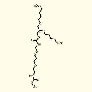 CCCCCCCCCCCCCCOC[C@H](COC(=O)NCCOCCOCCNC(=O)OC(C)(C)C)OCCCCCCCCCCCCCC